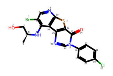 C[C@@H](CO)Nc1c(Br)cnc2sc3c(=O)n(-c4ccc(Cl)cc4)cnc3c12